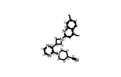 Cc1ccc2c(C)cc(N3CC(c4nccnc4N4CCC(C#N)CC4)C3)nc2c1